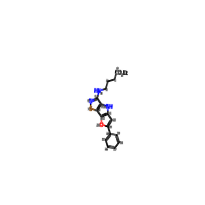 CCOC(=O)CCCNc1nsc2c1[nH]c1cc(-c3ccccc3)oc12